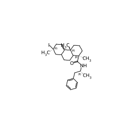 C[C@H](Cc1ccccc1)NC(=O)[C@]1(C)CCC[C@@]2(C)C3=CC[C@](C)(I)CC3CCC12